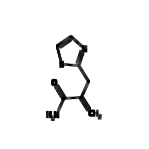 C=C(Cc1nccs1)C(N)=O